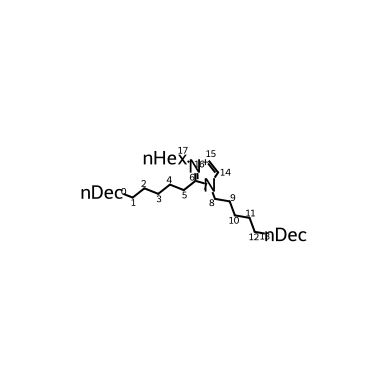 CCCCCCCCCCCCCCCc1n(CCCCCCCCCCCCCCC)cc[n+]1CCCCCC